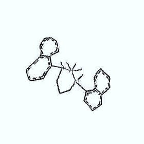 C[N+]1(c2cccc3ccccc23)CCC[N+](C)(c2cccc3ccccc23)[Pt]1([CH3])([I])[I]